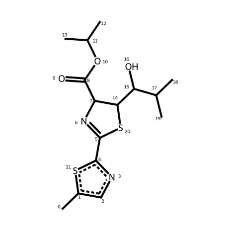 Cc1cnc(C2=NC(C(=O)OC(C)C)C(C(O)C(C)C)S2)s1